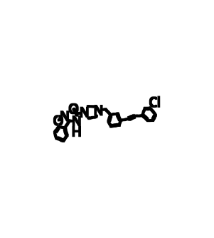 O=C(Nc1noc2ccccc12)N1CCN(Cc2cccc(C#Cc3cccc(Cl)c3)c2)CC1